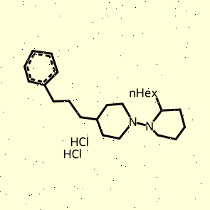 CCCCCCC1CCCCN1N1CCC(CCCc2ccccc2)CC1.Cl.Cl